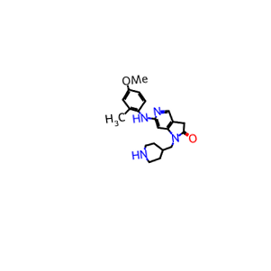 COc1ccc(Nc2cc3c(cn2)CC(=O)N3CC2CCNCC2)c(C)c1